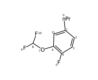 [CH2]CCc1ccc(F)c(OC(F)F)c1